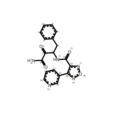 NC(=O)C(=O)C(Cc1ccccc1)NC(=O)c1nonc1-c1cccnc1